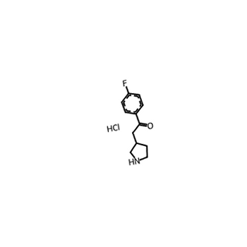 Cl.O=C(CC1CCNC1)c1ccc(F)cc1